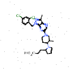 Cc1nn([C@H](C)c2ccc(Cl)cc2Cl)c2nc(N3CCC(N4CCCC4CCC(=O)O)[C@H](C)C3)cnc12